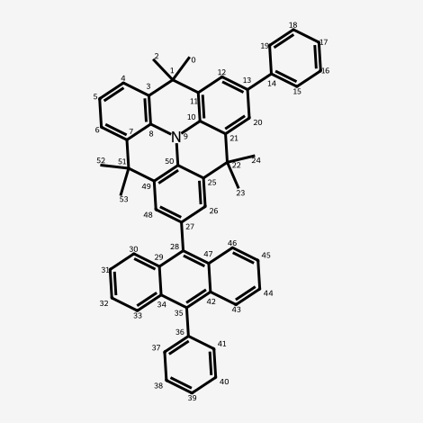 CC1(C)c2cccc3c2N2c4c1cc(-c1ccccc1)cc4C(C)(C)c1cc(-c4c5ccccc5c(-c5ccccc5)c5ccccc45)cc(c12)C3(C)C